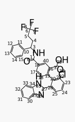 O=C(NC(CCC(F)(F)F)c1ccccc1)c1ccc(-c2c(Cl)cccc2-c2nc3ccccc3[nH]2)c(C(=O)O)c1